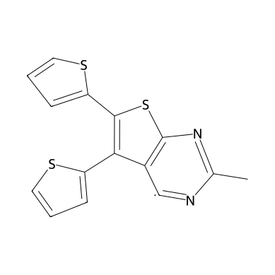 Cc1n[c]c2c(-c3cccs3)c(-c3cccs3)sc2n1